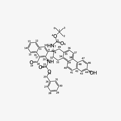 CC(C)(C)OC(=O)N[C@@]1(c2cc3ccccc3c(C=O)c2NC(=O)OCc2ccccc2)CCc2c(ccc3c2ccc2cc(O)ccc23)C1